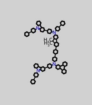 CC1(C)c2cc(-c3ccc(-c4ccc(N(c5ccc(-c6ccc7c(c6)c6ccccc6n7-c6ccc(-c7ccccc7)cc6)cc5)c5ccc6c7ccccc7c7ccccc7c6c5)cc4)cc3)ccc2-c2ccc(N(c3ccc(-c4ccccc4)cc3)c3ccc(-c4ccc5c(c4)c4ccccc4n5-c4ccc(-c5ccccc5)cc4)cc3)cc21